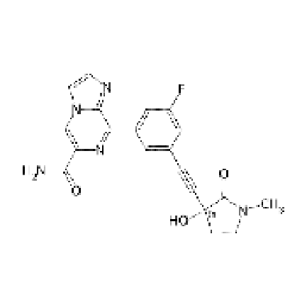 CN1CC[C@@](O)(C#Cc2cc(F)cc(-c3nc(C(N)=O)cn4ccnc34)c2)C1=O